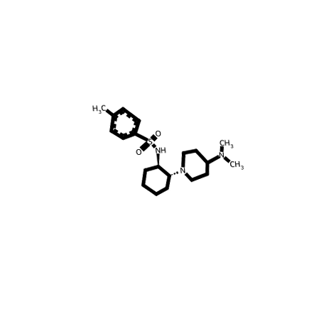 Cc1ccc(S(=O)(=O)N[C@@H]2CCCC[C@H]2N2CCC(N(C)C)CC2)cc1